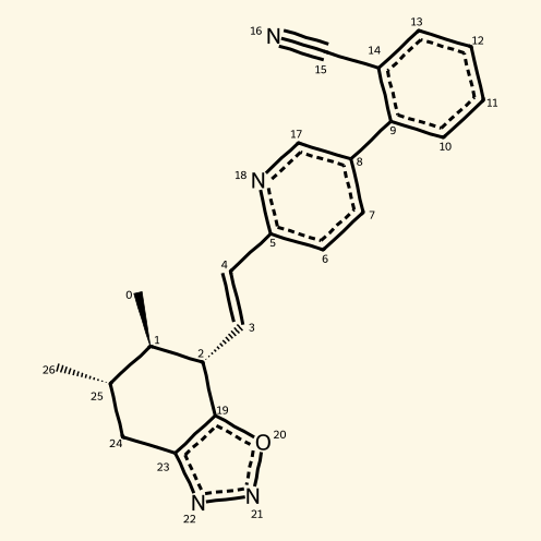 C[C@H]1[C@H](/C=C/c2ccc(-c3ccccc3C#N)cn2)c2onnc2C[C@@H]1C